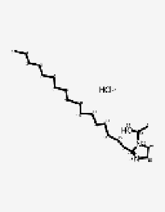 CCCCCCCCCCCCCCCCCC1=NCCN1C(C)O.Cl